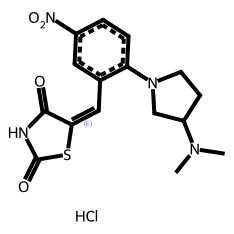 CN(C)C1CCN(c2ccc([N+](=O)[O-])cc2/C=C2/SC(=O)NC2=O)C1.Cl